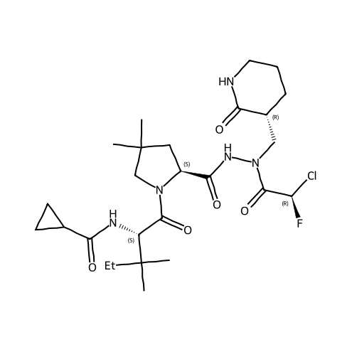 CCC(C)(C)[C@H](NC(=O)C1CC1)C(=O)N1CC(C)(C)C[C@H]1C(=O)NN(C[C@H]1CCCNC1=O)C(=O)[C@H](F)Cl